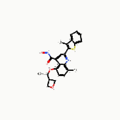 Cc1c(-c2cc(C(=O)N=O)c3c(O[C@@H](C)C4COC4)ccc(C)c3n2)sc2ccccc12